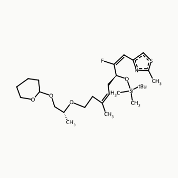 C/C(=C/C[C@H](O[Si](C)(C)C(C)(C)C)/C(F)=C\c1csc(C)n1)CCO[C@H](C)COC1CCCCO1